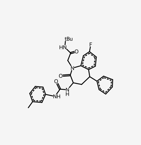 Cc1cccc(NC(=O)NC2CC(c3ccccc3)c3ccc(F)cc3N(CC(=O)NC(C)(C)C)C2=O)c1